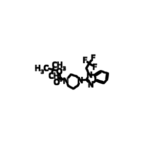 CC(C)(C)OC(=O)N1CCCN(c2nc3ccccc3n2CC(F)(F)F)CC1